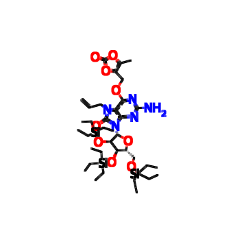 C=CCn1c(=O)n([C@@H]2O[C@H](CO[Si](CC)(CC)CC)[C@@H](O[Si](CC)(CC)CC)[C@H]2O[Si](CC)(CC)CC)c2nc(N)nc(OCc3oc(=O)oc3C)c21